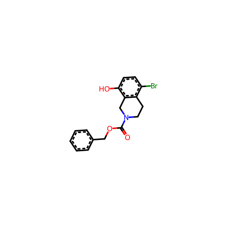 O=C(OCc1ccccc1)N1CCc2c(Br)ccc(O)c2C1